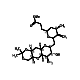 C=C1C(C[C@@H]2O[C@H]3C[C@H]4OC(C)(C)OC[C@H]4O[C@H]3[C@H](C)[C@H]2O)O[C@@H](CCC(=O)OC)C[C@H]1C